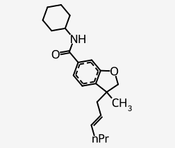 CCC/C=C/CC1(C)COc2cc(C(=O)NC3CCCCC3)ccc21